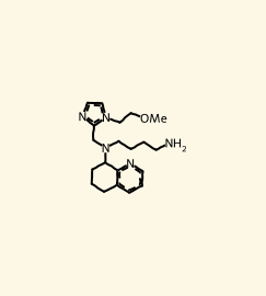 COCCn1ccnc1CN(CCCCN)C1CCCc2cccnc21